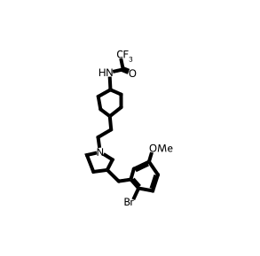 COc1ccc(Br)c(CC2CCN(CCC3CCC(NC(=O)C(F)(F)F)CC3)C2)c1